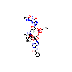 COP1(=O)NCC2OC(n3cnc4c(=O)[nH]c(NC(=O)C(C)C)nc43)C(OP(=O)(OCCC#N)OCC3OC(n4cnc5c(NC(=O)c6ccccc6)ncnc54)C(O[Si](C)(C)C(C)(C)C)C3O1)C2F